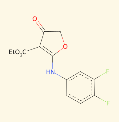 CCOC(=O)C1=C(Nc2ccc(F)c(F)c2)OCC1=O